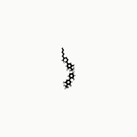 CCCCCC1CCC(c2cc(F)c(C(F)(F)Oc3ccc(-c4cc(F)c(C(F)(F)F)c(F)c4)c(F)c3)c(F)c2)OC1